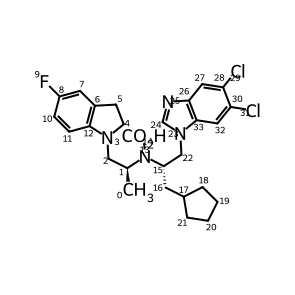 C[C@@H](CN1CCc2cc(F)ccc21)N(C(=O)O)[C@@H](CC1CCCC1)Cn1cnc2cc(Cl)c(Cl)cc21